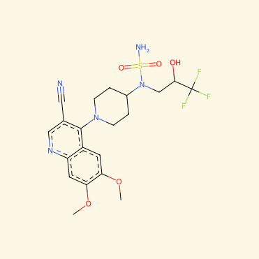 COc1cc2ncc(C#N)c(N3CCC(N(CC(O)C(F)(F)F)S(N)(=O)=O)CC3)c2cc1OC